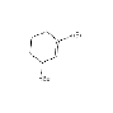 CCCCC1=CC(CCCC)CCC1